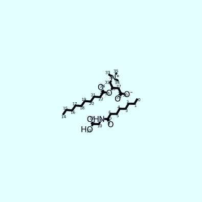 CCCCCCCC(=O)NCC(=O)O.CCCCCCCCCC(=O)OC(CC(=O)[O-])C[N+](C)(C)C